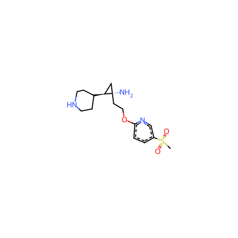 CS(=O)(=O)c1ccc(OCC[C@]2(N)C[C@@H]2C2CCNCC2)nc1